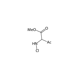 COC(=O)C(NCl)C(C)=O